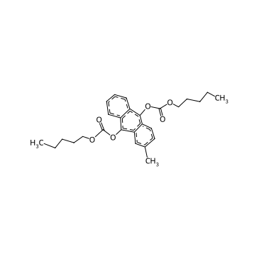 CCCCCOC(=O)Oc1c2ccccc2c(OC(=O)OCCCCC)c2cc(C)ccc12